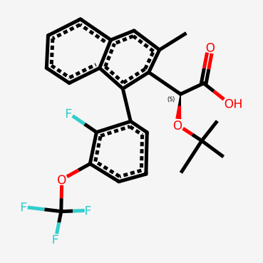 Cc1cc2ccccc2c(-c2cccc(OC(F)(F)F)c2F)c1[C@H](OC(C)(C)C)C(=O)O